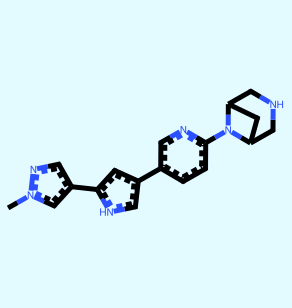 Cn1cc(-c2cc(-c3ccc(N4C5CNCC4C5)nc3)c[nH]2)cn1